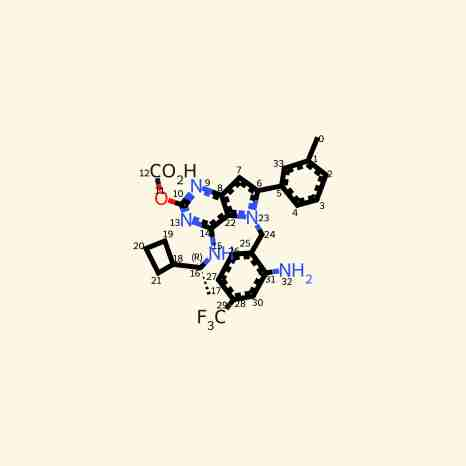 Cc1cccc(-c2cc3nc(OC(=O)O)nc(N[C@H](C)C4CCC4)c3n2Cc2ccc(C(F)(F)F)cc2N)c1